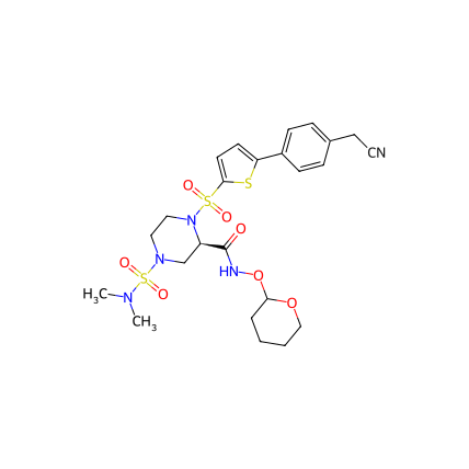 CN(C)S(=O)(=O)N1CCN(S(=O)(=O)c2ccc(-c3ccc(CC#N)cc3)s2)[C@@H](C(=O)NOC2CCCCO2)C1